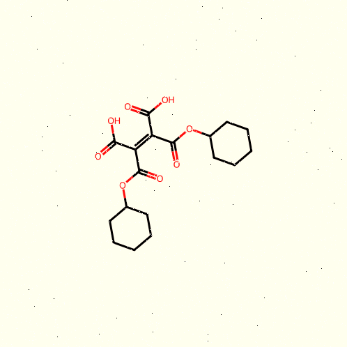 O=C(O)/C(C(=O)OC1CCCCC1)=C(\C(=O)O)C(=O)OC1CCCCC1